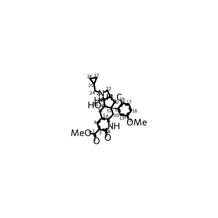 COC(=O)c1cc2c([nH]c1=O)C[C@@]1(c3cc(OC)ccc3C)CC3CN(CC4CC4)[C@H]3[C@]1(O)C2